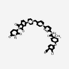 C[C@]1(C(=O)Nc2ccc(N3CCC(CN4CCN(c5ccc6c(c5)C(=O)N(C5CCC(=O)NC5=O)C6=O)CC4)CC3)nn2)CC[C@H](Oc2ccc(C#N)c(Cl)c2)CC1